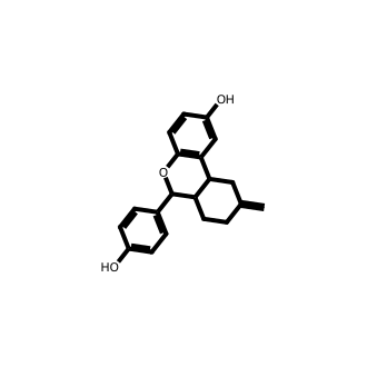 C=C1CCC2C(C1)c1cc(O)ccc1OC2c1ccc(O)cc1